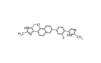 Cc1ncc(-c2ccc(-c3ccc4c5c(ccc4c3)-c3nc(C)[nH]c3CO5)cc2F)[nH]1